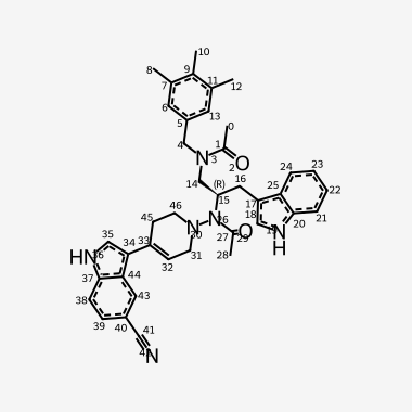 CC(=O)N(Cc1cc(C)c(C)c(C)c1)C[C@@H](Cc1c[nH]c2ccccc12)N(C(C)=O)N1CC=C(c2c[nH]c3ccc(C#N)cc23)CC1